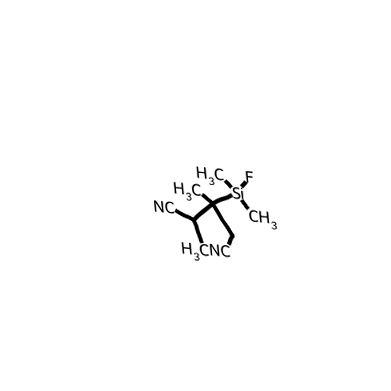 CC(C#N)C(C)(CC#N)[Si](C)(C)F